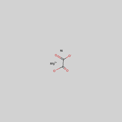 O=C([O-])C(=O)[O-].[Mg+2].[Ni]